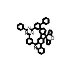 c1ccc(-c2ccc(-c3nc(-c4ccccc4)nc(-c4cccc(-c5nc6ccccc6c6cc7c(cc56)-c5ccccc5C75c6ccccc6Oc6ccccc65)c4)n3)cc2)cc1